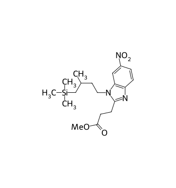 COC(=O)CCc1nc2ccc([N+](=O)[O-])cc2n1CCC(C)C[Si](C)(C)C